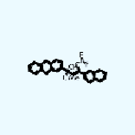 COC(C)(/C=C(\OB(F)F)c1ccc2ccccc2c1)c1ccc2cc3ccccc3cc2c1